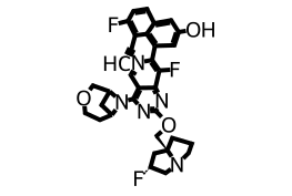 C#Cc1c(F)ccc2cc(O)cc(-c3ncc4c(N5C6CCOCC5C6)nc(OC[C@@]56CCCN5C[C@H](F)C6)nc4c3F)c12